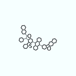 c1ccc(C2c3c(cc(-c4c5ccccc5c(-c5ccc6oc7cc8ccccc8cc7c6c5)c5ccccc45)c4sc5ccccc5c34)OC2c2ccc3ccccc3c2)cc1